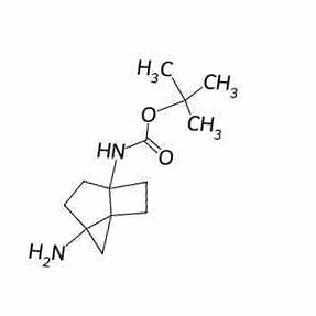 CC(C)(C)OC(=O)NC12CCC3(N)CC31CC2